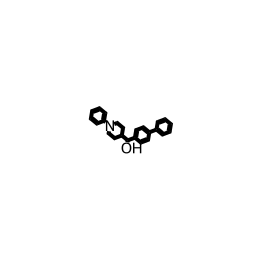 OC(c1ccc(-c2ccccc2)cc1)C1CCN(c2ccccc2)CC1